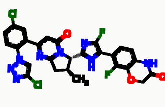 C[C@H]1Cc2nc(-c3cc(Cl)ccc3-n3cc(Cl)nn3)cc(=O)n2[C@@H]1c1nc(F)c(-c2ccc3c(c2F)OCC(=O)N3)[nH]1